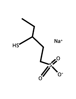 CCC(S)CCS(=O)(=O)[O-].[Na+]